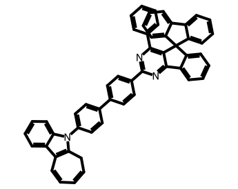 C1=CCc2c(c3ccccc3n2-c2ccc(-c3ccc(-c4nc(-c5ccccc5)c5c(n4)-c4ccccc4C54c5ccccc5-c5ccccc54)cc3)cc2)C=C1